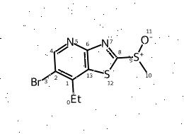 CCc1c(Br)cnc2nc([S+](C)[O-])sc12